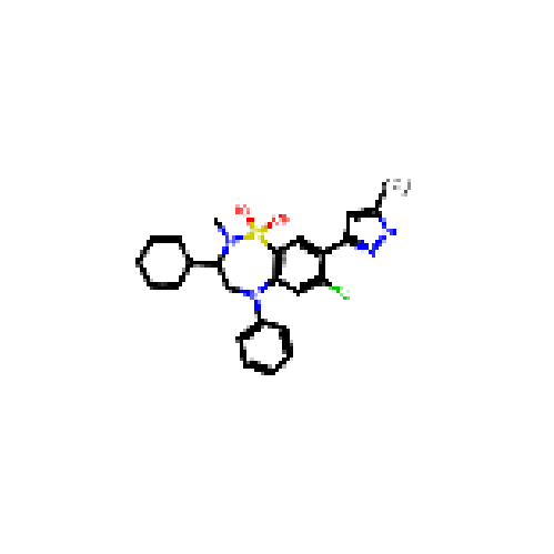 CN1C(C2CCCCC2)CN(c2ccccc2)c2cc(Cl)c(-c3cc(C(=O)O)[nH]n3)cc2S1(O)O